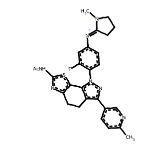 CC(=O)Nc1nc2c(s1)-c1c(c(-c3ccc(C)nc3)nn1-c1ccc(/N=C3\CCCN3C)cc1F)CC2